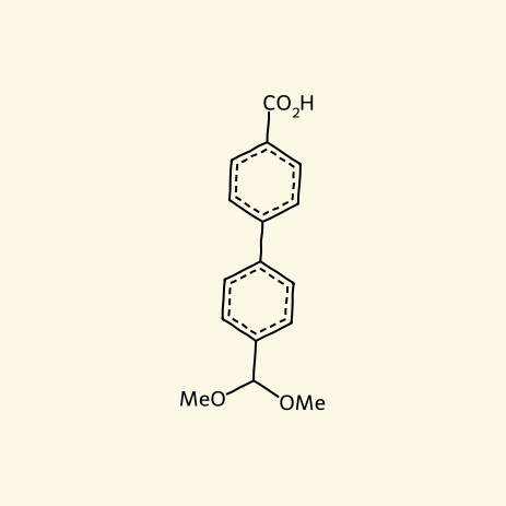 COC(OC)c1ccc(-c2ccc(C(=O)O)cc2)cc1